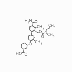 CCCN(C)C(=O)OCc1c(-c2ccc(O[C@H]3CCC[C@H](C(=O)O)C3)c(C)n2)ccc(C(N)=O)c1C